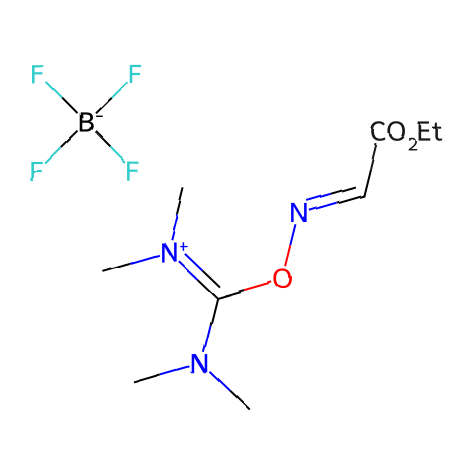 CCOC(=O)C=NOC(N(C)C)=[N+](C)C.F[B-](F)(F)F